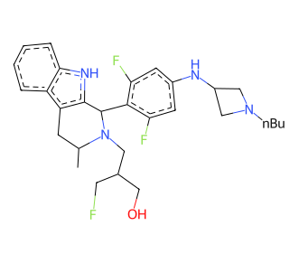 CCCCN1CC(Nc2cc(F)c(C3c4[nH]c5ccccc5c4CC(C)N3CC(CO)CF)c(F)c2)C1